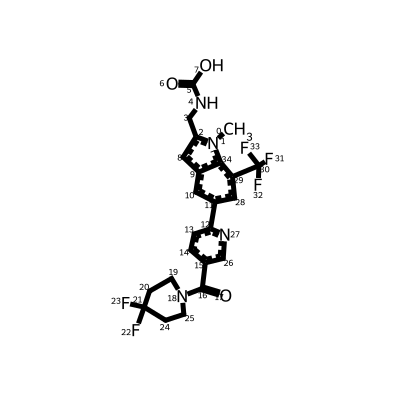 Cn1c(CNC(=O)O)cc2cc(-c3ccc(C(=O)N4CCC(F)(F)CC4)cn3)cc(C(F)(F)F)c21